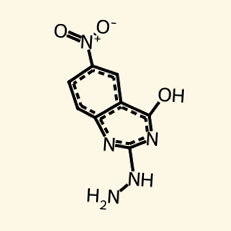 NNc1nc(O)c2cc([N+](=O)[O-])ccc2n1